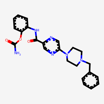 NC(=O)Oc1ccccc1NC(=O)c1cnc(N2CCN(Cc3ccccc3)CC2)cn1